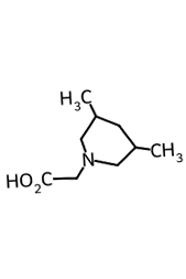 CC1CC(C)CN(CC(=O)O)C1